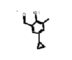 Cc1cc(C2CC2)cc(C=O)c1O